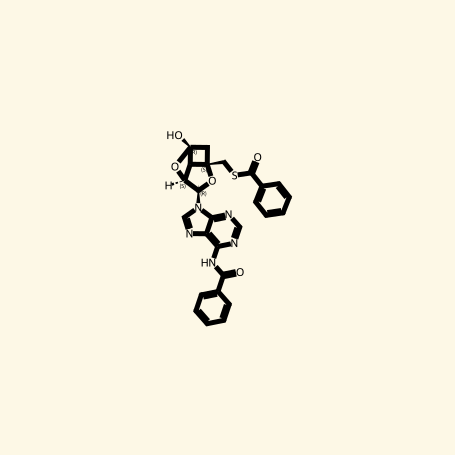 O=C(Nc1ncnc2c1ncn2[C@@H]1O[C@@]2(CSC(=O)c3ccccc3)C[C@@]3(O)O[C@H]1C23)c1ccccc1